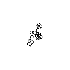 CC(C)[Si](C#Cc1cc(=O)n(C2CCC(N(C)C(=O)OC(C)(C)C)CC2)c2nc(S(C)(=O)=O)ncc12)(C(C)C)C(C)C